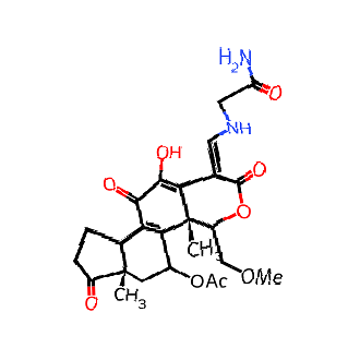 COCC1OC(=O)/C(=C\NCC(N)=O)C2=C(O)C(=O)C3=C(C(OC(C)=O)C[C@]4(C)C(=O)CCC34)[C@]21C